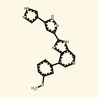 COc1cccc(-c2cncc3[nH]c(-c4cc(-c5cn[nH]c5)[nH]n4)nc23)c1